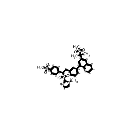 Cn1ccnc1S(=O)(=O)C(Cc1cccc(-c2cc(C(C)(C)S(C)(=O)=O)cc3cccnc23)c1)c1ccc(S(C)(=O)=O)cc1